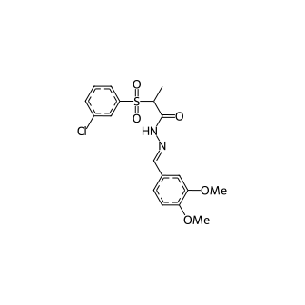 COc1ccc(C=NNC(=O)C(C)S(=O)(=O)c2cccc(Cl)c2)cc1OC